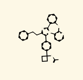 O=C(O)NC1(c2ccc(-c3c(CCc4ccccc4)nc4n3-c3cccnc3Nc3ccccc3-4)cc2)CCC1